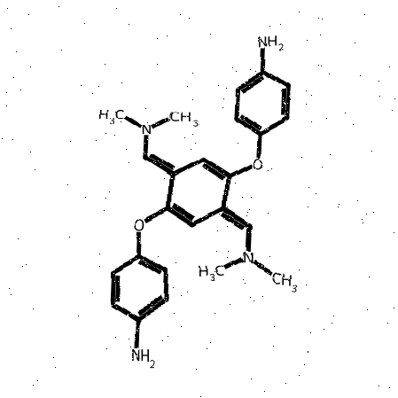 CN(C)C=c1cc(Oc2ccc(N)cc2)c(=CN(C)C)cc1Oc1ccc(N)cc1